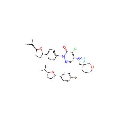 CC(C)C1CCC(c2ccc(Br)cc2)O1.CC(C)[C@@H]1CC[C@H](c2ccc(-n3ncc(NC[C@@]4(F)CCCOC4)c(Cl)c3=O)cc2)O1